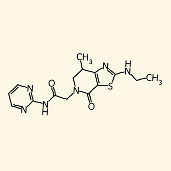 CCNc1nc2c(s1)C(=O)N(CC(=O)Nc1ncccn1)CC2C